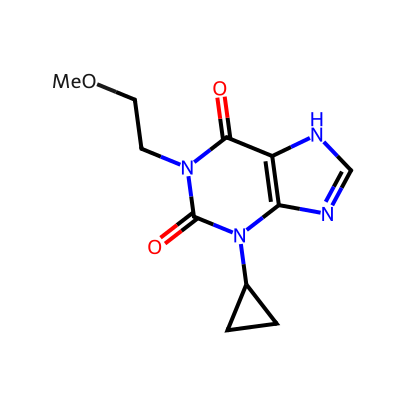 COCCn1c(=O)c2[nH]cnc2n(C2CC2)c1=O